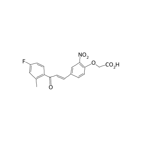 Cc1cc(F)ccc1C(=O)C=Cc1ccc(OCC(=O)O)c([N+](=O)[O-])c1